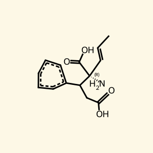 CC=C[C@](N)(C(=O)O)C(CC(=O)O)c1ccccc1